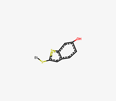 CCSc1cc2ccc(O)cc2s1